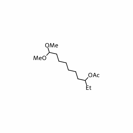 CCC(CCCCCCC(OC)OC)OC(C)=O